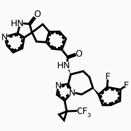 O=C(N[C@@H]1CC[C@@H](c2cccc(F)c2F)Cn2c(C3(C(F)(F)F)CC3)cnc21)c1ccc2c(c1)CC1(C2)C(=O)Nc2ncccc21